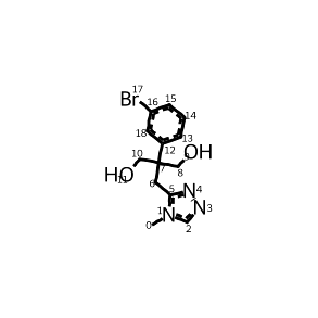 Cn1cnnc1CC(CO)(CO)c1cccc(Br)c1